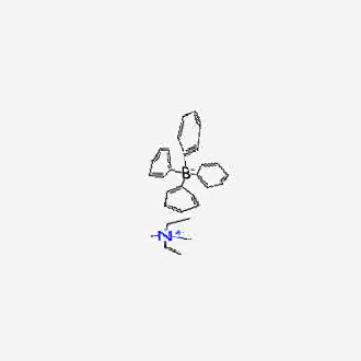 CC[N+](C)(C)CC.c1ccc([B-](c2ccccc2)(c2ccccc2)c2ccccc2)cc1